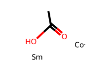 CC(=O)O.[Co].[Sm]